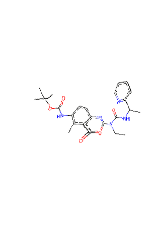 CCN(C(=O)NC(C)c1ccccn1)c1nc2ccc(NC(=O)OC(C)(C)C)c(C)c2c(=O)o1